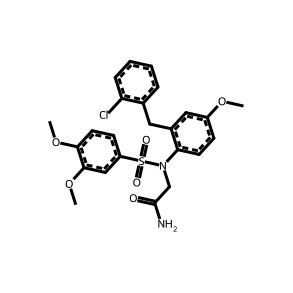 COc1ccc(N(CC(N)=O)S(=O)(=O)c2ccc(OC)c(OC)c2)c(Cc2ccccc2Cl)c1